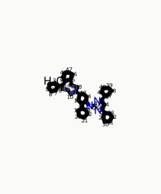 CC1(c2ccccc2)/C=C/C=C(c2ccc3c(c2)c2ccccc2n3-c2nc(-c3ccccc3)cc(-c3ccccc3)n2)\C=C\c2ccccc21